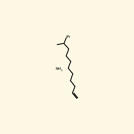 C=CCCCCCCCC(C)C(C)C.N